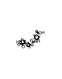 O=C(NC1CCN(C(=O)O)CC1)OC1CCN(c2cn[nH]c(=O)c2Cl)C1